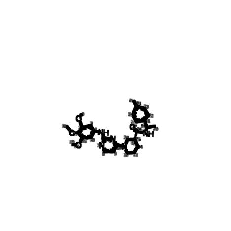 COc1cc(Nc2nccc(N3CCC[C@H](C(=O)NC(C)c4ccc(C)cc4)C3)n2)cc(OC)c1OC